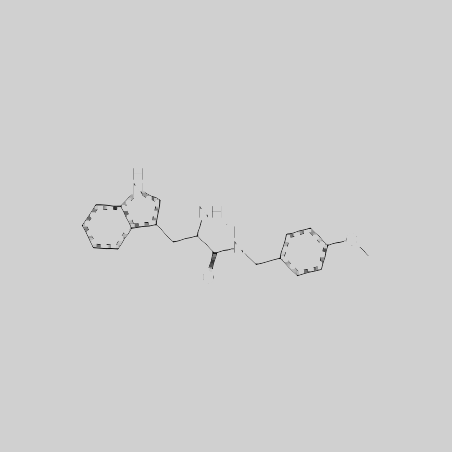 COc1ccc(CNC(=O)C(N)Cc2c[nH]c3ccccc23)cc1